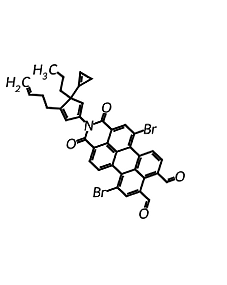 C=CCCC1=CC(N2C(=O)c3ccc4c5c(Br)cc(C=O)c6c(C=O)ccc(c7c(Br)cc(c3c47)C2=O)c65)=CC1(CCC)C1=CC1